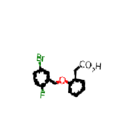 O=C(O)Cc1ccccc1OCc1cc(Br)ccc1F